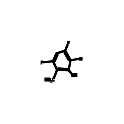 O=C(O)c1c(F)cc(F)c(Br)c1O